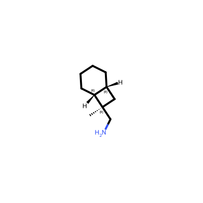 C[C@@]1(CN)C[C@H]2CCCC[C@H]21